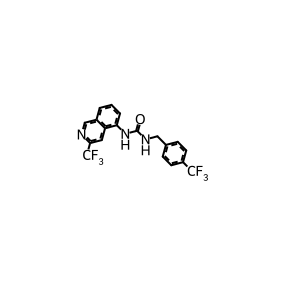 O=C(NCc1ccc(C(F)(F)F)cc1)Nc1cccc2cnc(C(F)(F)F)cc12